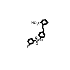 O=C(O)c1ccccc1CCc1ccc(NS(=O)(=O)c2cccc(F)c2)cc1